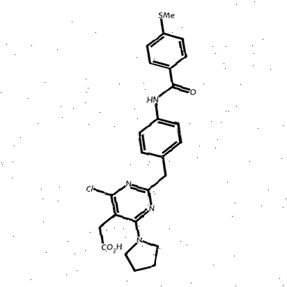 CSc1ccc(C(=O)Nc2ccc(Cc3nc(Cl)c(CC(=O)O)c(N4CCCC4)n3)cc2)cc1